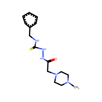 CN1CCN(CC(=O)NNC(=S)NCc2ccccc2)CC1